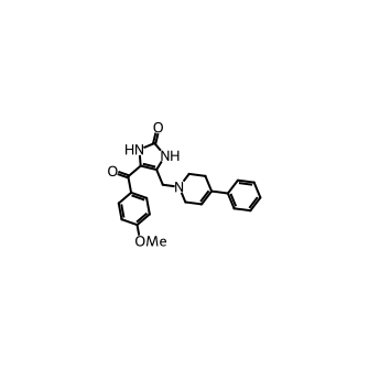 COc1ccc(C(=O)c2[nH]c(=O)[nH]c2CN2CC=C(c3ccccc3)CC2)cc1